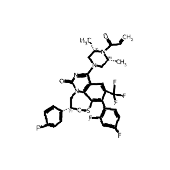 C=CC(=O)N1[C@H](C)CN(c2nc(=O)n3c4c(c(-c5ccc(F)cc5F)c(C(F)(F)F)cc24)SC[C@H](c2ccc(F)cc2)C3)C[C@@H]1C